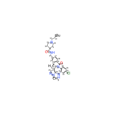 Cc1cc(CNC(=O)C2CCN(CCC(C)(C)C)CC2)ccc1C(=O)N1Cc2cnn(C)c2Nc2cc(Cl)ccc21